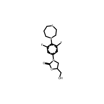 O=C1OC(CO)CN1c1cc(F)c(N2CCCSCC2)c(F)c1